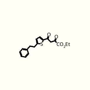 CCOC(=O)C(=O)CC(=O)c1ccc(CCc2ccccc2)s1